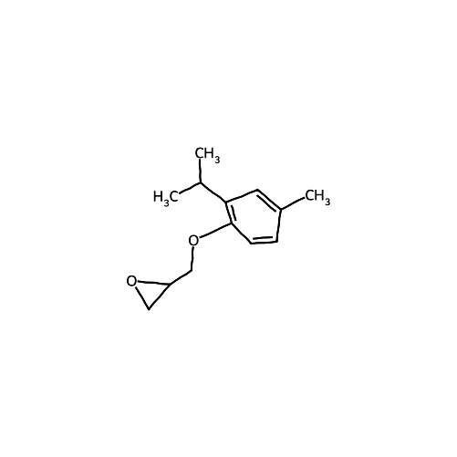 Cc1ccc(OCC2CO2)c(C(C)C)c1